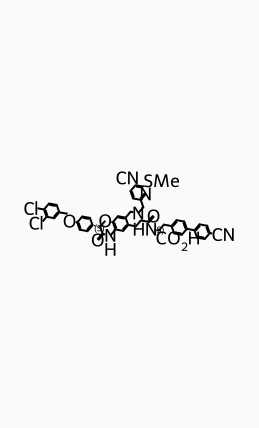 CSc1nc(CN2Cc3cc4c(cc3CC2C(=O)N[C@@H](Cc2ccc(-c3ccc(C#N)cc3)cc2)C(=O)O)NC(=O)[C@H](c2ccc(OCc3ccc(Cl)c(Cl)c3)cc2)O4)ccc1C#N